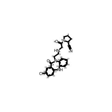 N#CC1CCCN1C(=O)CNCCN1C(=O)c2cc(Cl)ccc2Nc2ccccc21